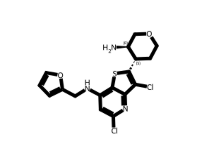 N[C@H]1COCC[C@@H]1c1sc2c(NCc3ccco3)cc(Cl)nc2c1Cl